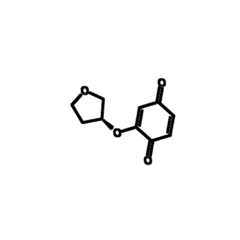 O=C1C=CC(=O)C(O[C@H]2CCOC2)=C1